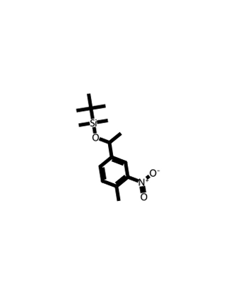 Cc1ccc(C(C)O[Si](C)(C)C(C)(C)C)cc1[N+](=O)[O-]